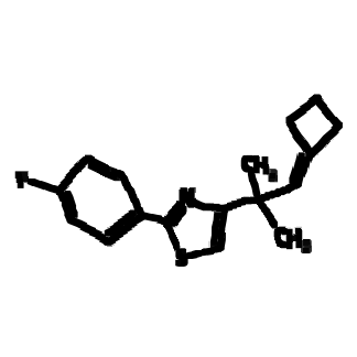 CC(C)(C=C1CCC1)c1csc(-c2ccc(F)cc2)n1